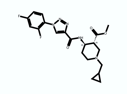 COC(=O)[C@@H]1CN(CC2CC2)CC[C@H]1NC(=O)c1cn(-c2ccc(F)cc2F)nn1